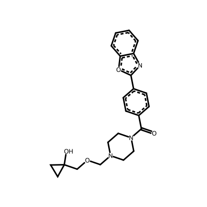 O=C(c1ccc(-c2nc3ccccc3o2)cc1)N1CCN(COCC2(O)CC2)CC1